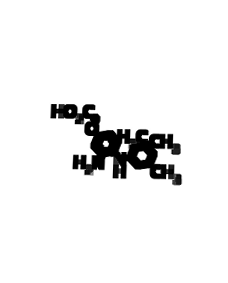 C[C@H]1C[C@@H](Nc2ccc(OCC(=O)O)cc2N)CC(C)(C)C1